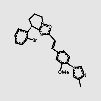 COc1cc(/C=C/c2nc3n(n2)CCC[C@@H]3c2ccccc2Br)ccc1-n1cnc(C)c1